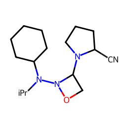 CC(C)N(C1CCCCC1)N1OCC1N1CCCC1C#N